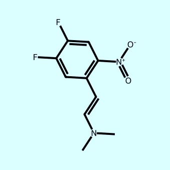 CN(C)/C=C/c1cc(F)c(F)cc1[N+](=O)[O-]